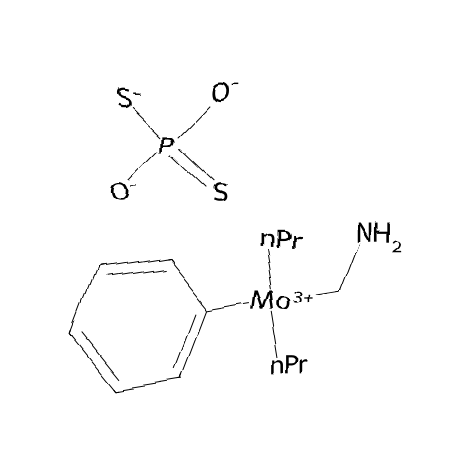 CC[CH2][Mo+3]([CH2]N)([CH2]CC)[c]1ccccc1.[O-]P([O-])(=S)[S-]